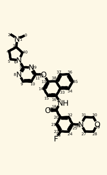 CN(C)C1CCN(c2nccc(Oc3ccc(NC(=O)c4cc(F)cc(N5CCOCC5)c4)c4ccccc34)n2)C1